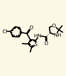 Cc1sc(NC(=O)[C@@H]2COC(C)(C)N2)c(C(=O)c2ccc(Cl)cc2)c1C